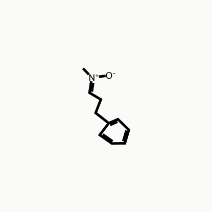 C/[N+]([O-])=C/CCc1ccccc1